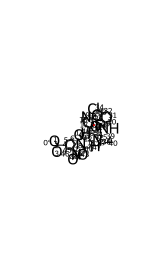 COC(=O)c1ccc(N2CC[C@H]3[C@@H](C2=O)[C@H](c2ccnc(Cl)c2F)[C@](C)(C(=O)Nc2cccc(Cl)c2)N3CC2CC2)c([N+](=O)[O-])c1C